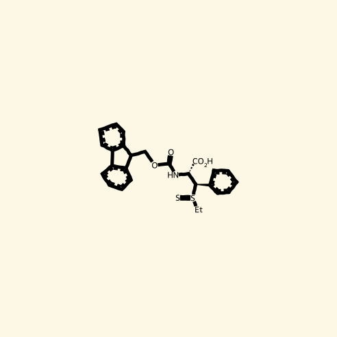 CCS(=S)[C@H](c1ccccc1)[C@H](NC(=O)OCC1c2ccccc2-c2ccccc21)C(=O)O